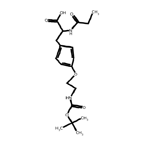 CCC(=O)NC(Cc1ccc(OCCNC(=O)OC(C)(C)C)cc1)C(=O)O